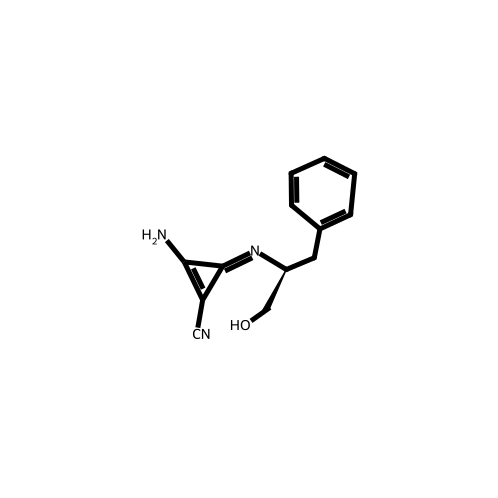 N#Cc1c(N)/c1=N/[C@H](CO)Cc1ccccc1